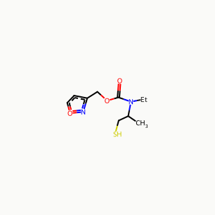 CCN(C(=O)OCc1ccon1)C(C)CS